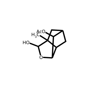 CC(=O)OC1C2CC3C1OC(O)C3(C)C2